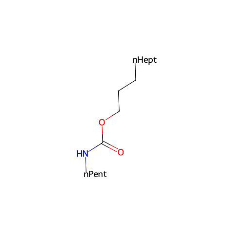 CCCCCCCCCCOC(=O)NCCCCC